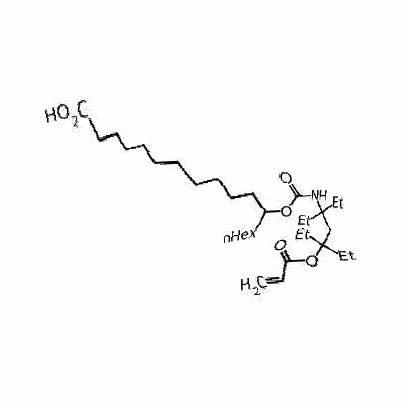 C=CC(=O)OC(CC)(CC)CC(CC)(CC)NC(=O)OC(CCCCCC)CCCCCCCCCCC(=O)O